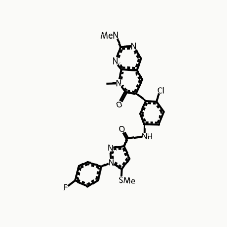 CNc1ncc2cc(-c3cc(NC(=O)c4cc(SC)n(-c5ccc(F)cc5)n4)ccc3Cl)c(=O)n(C)c2n1